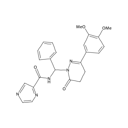 COc1ccc(C2=NN(C(NC(=O)c3cnccn3)c3ccccc3)C(=O)CC2)cc1OC